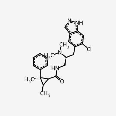 CC1C(C(=O)NC[C@H](Cc2cc3cn[nH]c3cc2Cl)N(C)C)[C@]1(C)c1ccccc1